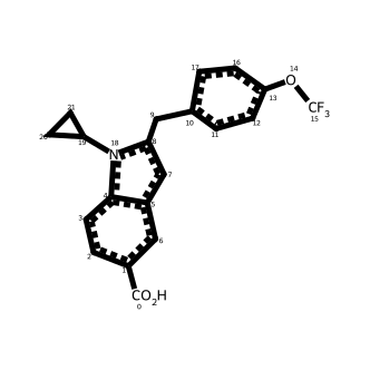 O=C(O)c1ccc2c(c1)cc(Cc1ccc(OC(F)(F)F)cc1)n2C1CC1